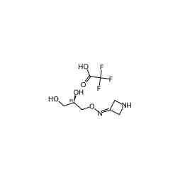 O=C(O)C(F)(F)F.OC[C@@H](O)CON=C1CNC1